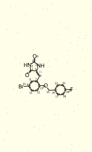 O=C1NC(=O)/C(=C\c2cc(Br)ccc2OCc2ccc(F)cc2)N1